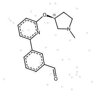 CN1CC[C@H](Oc2cccc(-c3cccc(C=O)c3)n2)C1